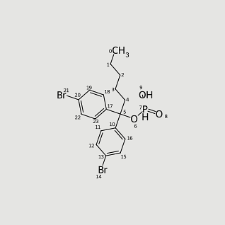 CCCCCC(O[PH](=O)O)(c1ccc(Br)cc1)c1ccc(Br)cc1